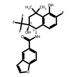 CC1(C)C[C@@](O)(C(F)(F)F)[C@@H](NC(=O)c2ccc3occc3c2)c2ccc(F)c(O)c21